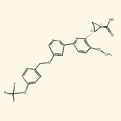 COc1ccc(-c2cncc(OCc3ccc(OC(F)(F)F)cc3)c2)nc1[C@@H]1C[C@H]1C(=O)O